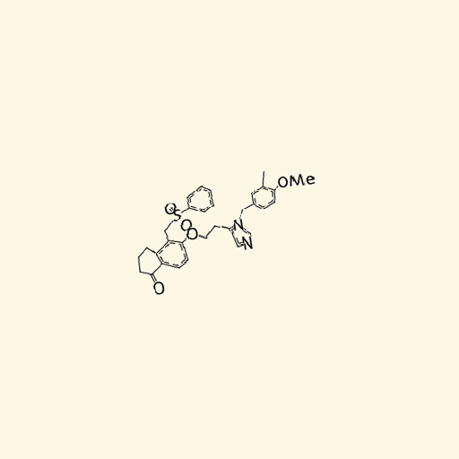 COc1ccc(Cn2cncc2CCOc2ccc3c(c2CS(=O)(=O)c2ccccc2)CCCC3=O)cc1C